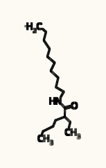 [CH2]CCCCCCCCCNC(=O)C(CC)CCCC